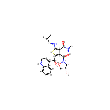 CNC(=O)c1c(NCC(C)C)sc(C(=O)c2ccnc3ccccc23)c1C(=O)N1C[C@H](O)CO1